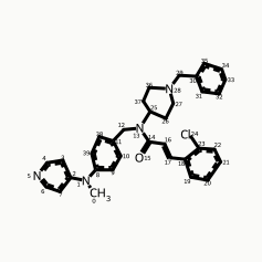 CN(c1ccncc1)c1ccc(CN(C(=O)C=Cc2ccccc2Cl)C2CCN(Cc3ccccc3)CC2)cc1